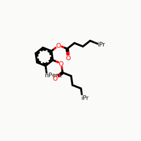 CCCCCc1cccc(OC(=O)CCCC(C)C)c1OC(=O)CCCC(C)C